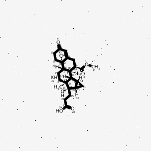 COC(=O)[C@@H]1CC2=CC(=O)CC[C@]2(C)[C@H]2CC[C@@]3(C)[C@@H]([C@@H]4C[C@@H]4[C@@]3(O)CCC(=O)O)[C@H]12.[KH]